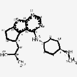 CN[C@H]1CC[C@H](Nc2ncnc3sc4c(c23)[C@@H](C[C@@H](C)O)CC4)CC1